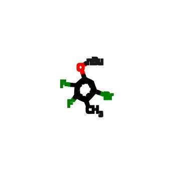 CCCCOc1cc(Br)c(C)c(F)c1F